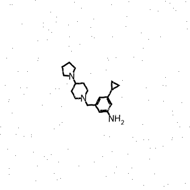 Nc1cc(CN2CCC(N3CCCC3)CC2)cc(C2CC2)c1